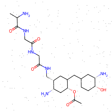 CC(=O)O[C@@H]1C[C@H](N)[C@H](CNC(=O)CNC(=O)CNC(=O)C(C)N)CC1CC1CC[C@@H](O)[C@@H](N)C1